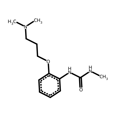 CNC(=O)Nc1ccccc1OCCCN(C)C